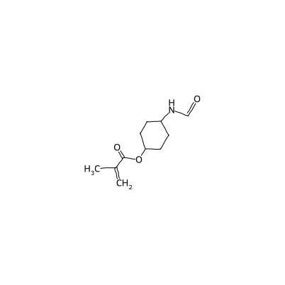 C=C(C)C(=O)OC1CCC(NC=O)CC1